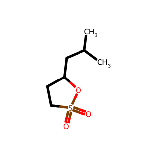 CC(C)CC1CCS(=O)(=O)O1